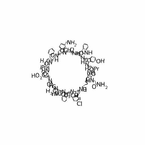 CCCC[C@H]1C(=O)N(C)CC(=O)N[C@@H](CC(=O)O)C(=O)N[C@@H](C(C)C)C(=O)N(C)[C@@H](Cc2ccccc2)C(=O)N[C@@H](Cc2ccc(CN)cc2)C(=O)N(C)CC(=O)N[C@@H](Cc2c[nH]c3ccccc23)C(=O)N[C@@H](Cc2ccc(O)cc2)C(=O)N[C@@H](CC(C)C)C(=O)N[C@H](C(=O)NCC(N)=O)CSCC(=O)N[C@@H](Cc2cccc(Cl)c2)C(=O)N(C)[C@@H](Cc2ccccc2)C(=O)N1C